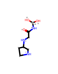 O=C(CNC1CCNC1)NB(O)O